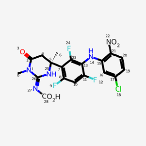 CN1C(=O)C[C@@](C)(c2c(F)cc(F)c(Nc3cc(Cl)ccc3[N+](=O)[O-])c2F)N/C1=N\C(=O)O